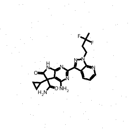 CC(F)(F)CCn1nc(-c2nc(N)c3c(n2)NC(=O)C3(C(N)=O)C2CC2)c2cccnc21